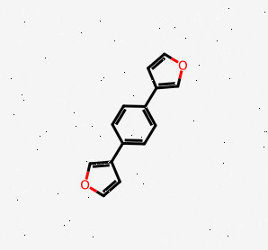 c1cc(-c2ccc(-c3ccoc3)cc2)co1